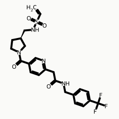 C=CS(=O)(=O)NC[C@@H]1CCN(C(=O)c2ccc(CC(=O)NCc3ccc(C(F)(F)F)cc3)nc2)C1